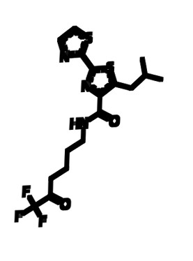 CC(C)Cc1sc(-c2nccs2)nc1C(=O)NCCCCC(=O)C(F)(F)F